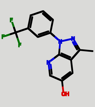 Cc1nn(-c2cccc(C(F)(F)F)c2)c2ncc(O)cc12